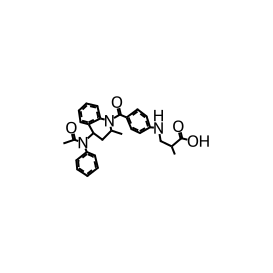 CC(=O)N(c1ccccc1)C1CC(C)N(C(=O)c2ccc(NCC(C)C(=O)O)cc2)c2ccccc21